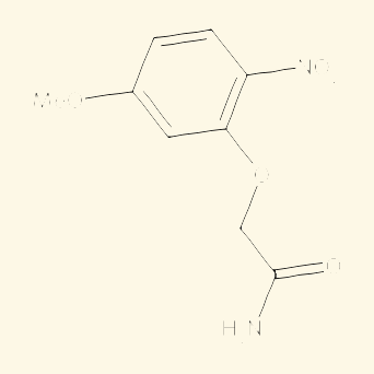 COc1ccc([N+](=O)[O-])c(OCC(N)=O)c1